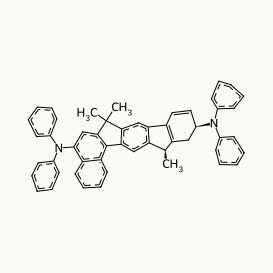 C[C@@H]1C2=C(C=C[C@@H](N(c3ccccc3)c3ccccc3)C2)c2cc3c(cc21)-c1c(cc(N(c2ccccc2)c2ccccc2)c2ccccc12)C3(C)C